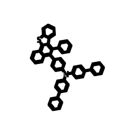 c1ccc(-c2ccc(N(c3ccc(-c4ccccc4)cc3)c3ccc(-c4c(-c5ccccc5)c5c6ccccc6sc5c5ccccc45)cc3)cc2)cc1